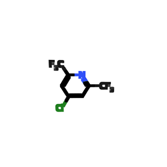 FC(F)(F)c1cc(Cl)cc(C(F)(F)F)n1